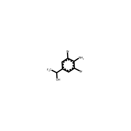 Nc1c(Br)cc(C(O)C(F)(F)F)cc1Br